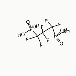 O=P(O)(O)C(F)(F)C(F)(F)C(F)(F)P(=O)(O)O